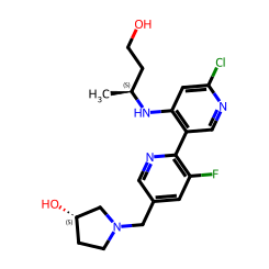 C[C@@H](CCO)Nc1cc(Cl)ncc1-c1ncc(CN2CC[C@H](O)C2)cc1F